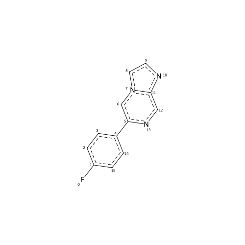 Fc1ccc(-c2cn3ccnc3cn2)cc1